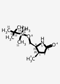 C[C@@H]1CC(=O)N[C@@H]1CO[Si](C)(C)C(C)(C)C